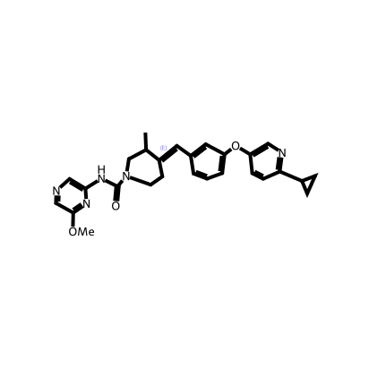 COc1cncc(NC(=O)N2CC/C(=C\c3cccc(Oc4ccc(C5CC5)nc4)c3)C(C)C2)n1